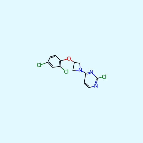 Clc1ccc(OC2CN(c3ccnc(Cl)n3)C2)c(Cl)c1